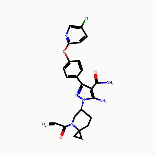 C=CC(=O)N1C[C@@H](n2nc(-c3ccc(Oc4ccc(Cl)cn4)cc3)c(C(N)=O)c2N)CCC12CC2